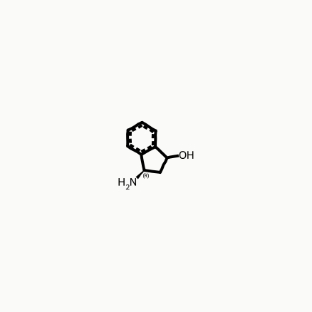 N[C@@H]1CC(O)c2ccccc21